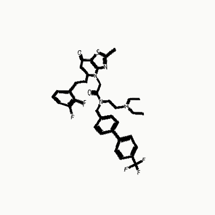 CCN(CC)CCN(Cc1ccc(-c2ccc(C(F)(F)F)cc2)cc1)C(=O)Cn1c(CCc2cccc(F)c2F)cc(=O)c2sc(C)nc21